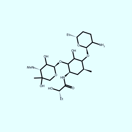 CC[C@@H]1CCC(N)[C@@H](OC2C(O)C(O[C@H]3OCC(C)(O)[C@H](NC)C3O)[C@H](NC(=O)[C@@H](O)CC)C[C@@H]2C)O1